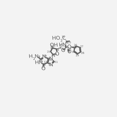 C[C@H](NP(=O)(OC[C@H]1O[C@@H](n2cnc3c(=O)[nH]c(N)nc32)C[C@@H]1O)Oc1ccccc1)C(=O)O